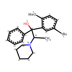 COc1ccc(C(C)(C)C)cc1C(O)(c1ccccc1)C(C)N1CCCCC1